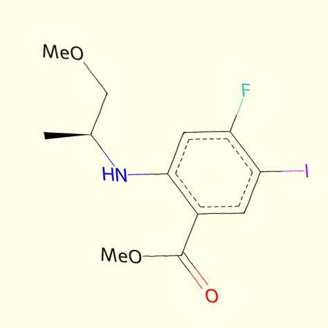 COC[C@H](C)Nc1cc(F)c(I)cc1C(=O)OC